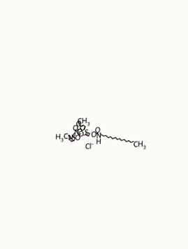 CCCCCCCCCCCCCCCCNC(=O)OC[C@@H]1C[C@@H](COC(=O)N(Cc2cccc[n+]2CC)C(=O)c2ccccc2OC)S1.[Cl-]